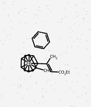 CCOC(=O)C=C(C)[C]12[CH]3[CH]4[CH]5[CH]1[Fe]45321678[CH]2[CH]1[CH]6[C]7(C=O)[CH]28.c1ccccc1